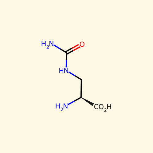 NC(=O)NC[C@H](N)C(=O)O